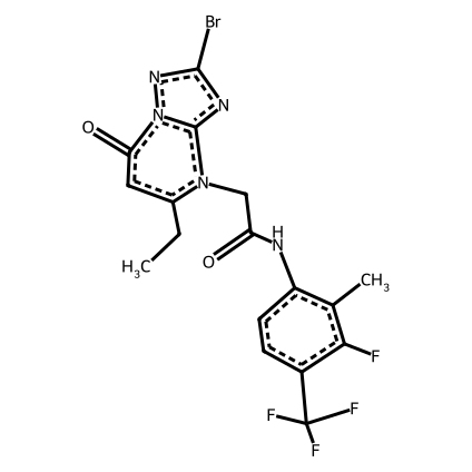 CCc1cc(=O)n2nc(Br)nc2n1CC(=O)Nc1ccc(C(F)(F)F)c(F)c1C